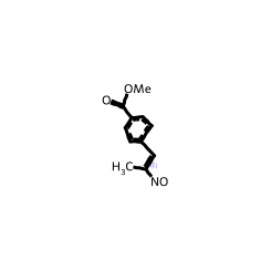 COC(=O)c1ccc(/C=C(\C)N=O)cc1